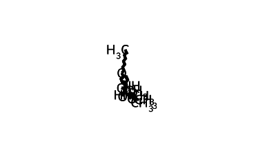 CCCCCCCCOc1ccc(NC(=O)[C@](C)(C=O)NC(=O)OC(C)(C)C)cc1